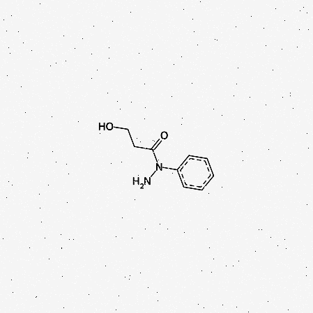 NN(C(=O)CCO)c1ccccc1